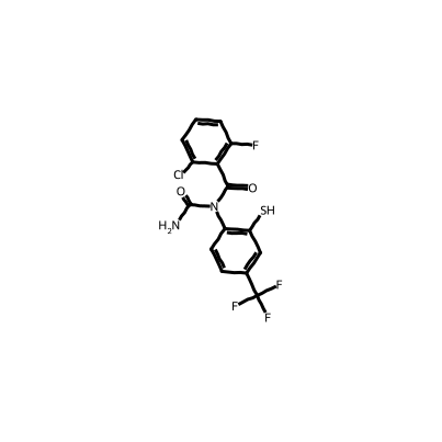 NC(=O)N(C(=O)c1c(F)cccc1Cl)c1ccc(C(F)(F)F)cc1S